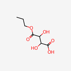 CCCOC(=O)C(O)C(O)C(=O)O